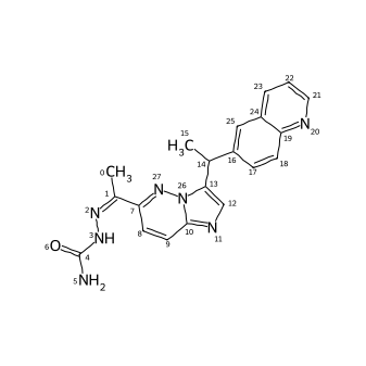 C/C(=N/NC(N)=O)c1ccc2ncc(C(C)c3ccc4ncccc4c3)n2n1